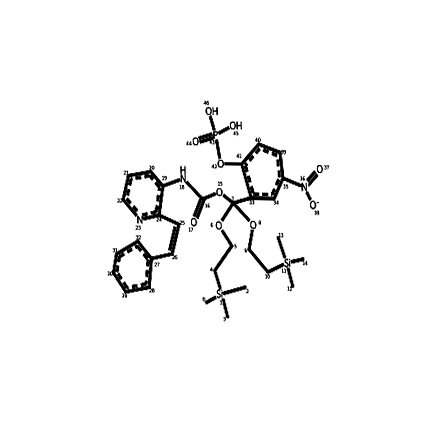 C[Si](C)(C)CCOC(OCC[Si](C)(C)C)(OC(=O)Nc1cccnc1C=Cc1ccccc1)c1cc([N+](=O)[O-])ccc1OP(=O)(O)O